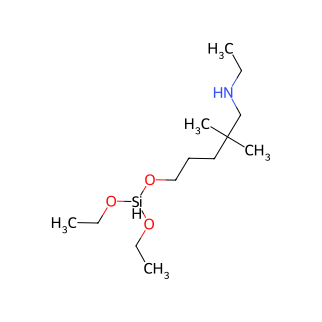 CCNCC(C)(C)CCCO[SiH](OCC)OCC